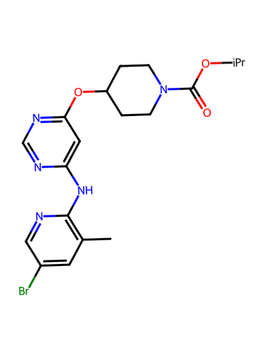 Cc1cc(Br)cnc1Nc1cc(OC2CCN(C(=O)OC(C)C)CC2)ncn1